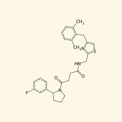 Cc1cccc(C)c1Cc1csc(CNC(=O)CCC(=O)N2CCCC2c2cccc(F)c2)n1